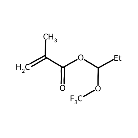 C=C(C)C(=O)OC(CC)OC(F)(F)F